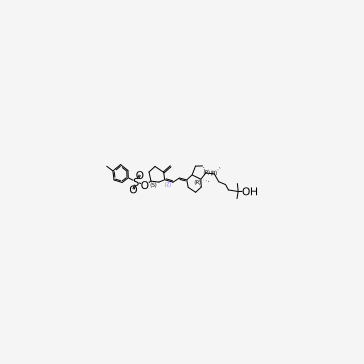 C=C1CC[C@H](OS(=O)(=O)c2ccc(C)cc2)C/C1=C/C=C1CCC[C@@]2(C)C1CC[C@@H]2[C@H](C)CCCC(C)(C)O